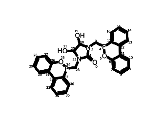 O=C1N(CP2Oc3ccccc3-c3ccccc32)C(O)C(O)N1CP1Oc2ccccc2-c2ccccc21